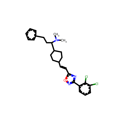 CN(C)C(CCc1ccccc1)C1CCC(/C=C/c2nc(-c3cccc(Cl)c3Cl)no2)CC1